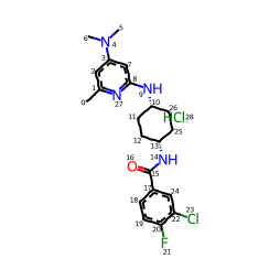 Cc1cc(N(C)C)cc(N[C@H]2CC[C@@H](NC(=O)c3ccc(F)c(Cl)c3)CC2)n1.Cl